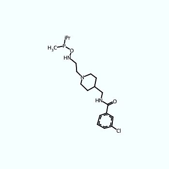 CC(C)P(C)ONCCN1CCC(CNC(=O)c2cccc(Cl)c2)CC1